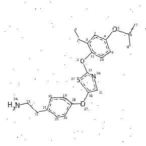 CCc1cc(OC(C)C)ccc1Oc1ncc(Oc2ccc(CCN)cc2)s1